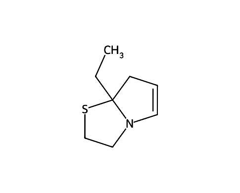 CCC12CC=CN1CCS2